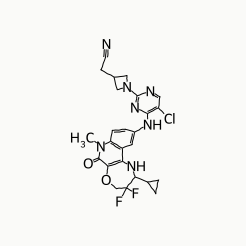 Cn1c(=O)c2c(c3cc(Nc4nc(N5CC(CC#N)C5)ncc4Cl)ccc31)NC(C1CC1)C(F)(F)CO2